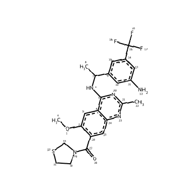 COc1cc2c(NC(C)c3cc(N)cc(C(F)(F)F)c3)nc(C)nc2cc1C(=O)N1CCSC1